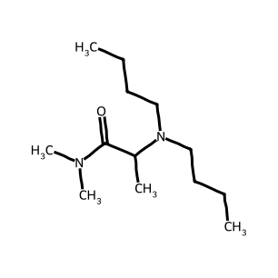 CCCCN(CCCC)C(C)C(=O)N(C)C